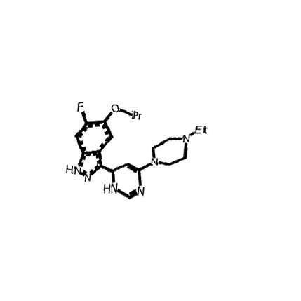 CCN1CCN(C2=CC(c3n[nH]c4cc(F)c(OC(C)C)cc34)NC=N2)CC1